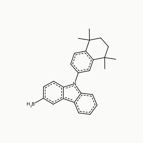 Bc1ccc2c(c1)c1ccccc1n2-c1ccc2c(c1)C(C)(C)CCC2(C)C